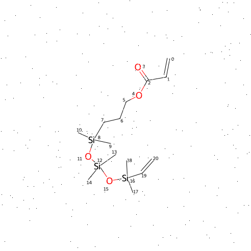 C=CC(=O)OCCC[Si](C)(C)O[Si](C)(C)O[Si](C)(C)C=C